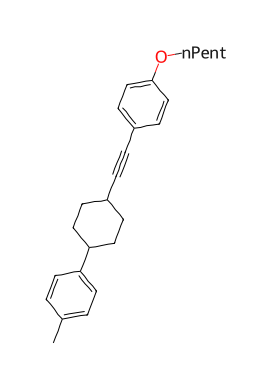 CCCCCOc1ccc(C#CC2CCC(c3ccc(C)cc3)CC2)cc1